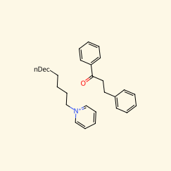 CCCCCCCCCCCCCC[n+]1ccccc1.O=C(CCc1ccccc1)c1ccccc1